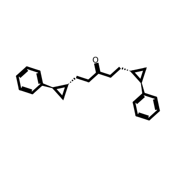 O=C(CC[C@@H]1C[C@H]1c1ccccc1)CC[C@@H]1C[C@H]1c1ccccc1